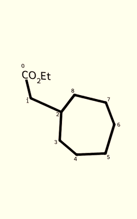 CCOC(=O)[CH]C1CCCCCC1